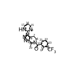 Cc1c(C(=O)N2CCc3c(nnn3C3N=CC=CN3)[C@@H]2C)cccc1C(F)(F)F